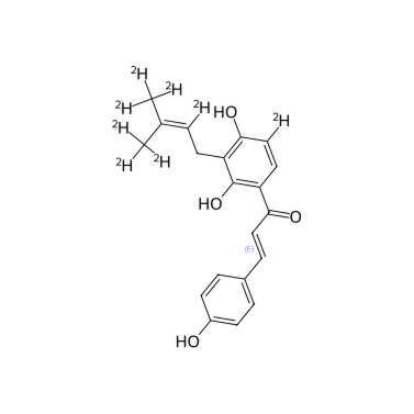 [2H]C(Cc1c(O)c([2H])cc(C(=O)/C=C/c2ccc(O)cc2)c1O)=C(C([2H])([2H])[2H])C([2H])([2H])[2H]